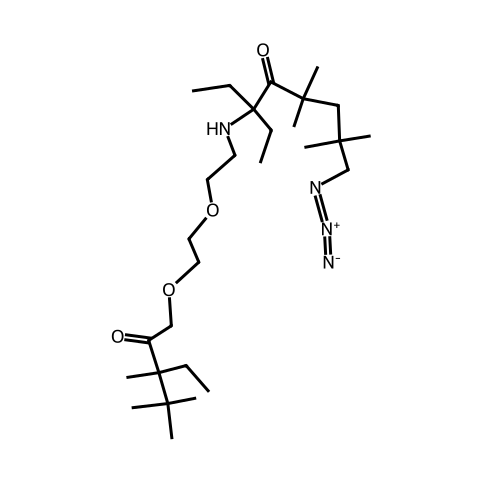 CCC(CC)(NCCOCCOCC(=O)C(C)(CC)C(C)(C)C)C(=O)C(C)(C)CC(C)(C)CN=[N+]=[N-]